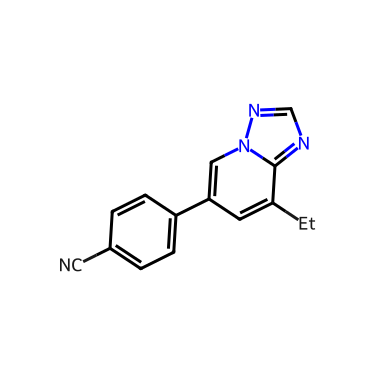 CCc1cc(-c2ccc(C#N)cc2)cn2ncnc12